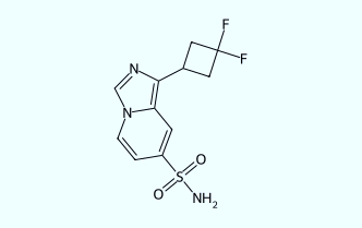 NS(=O)(=O)c1ccn2cnc(C3CC(F)(F)C3)c2c1